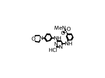 CNS(=O)(=O)c1cccc(Nc2cc(Nc3ccc(N4CCOCC4)cc3)ncn2)c1.Cl